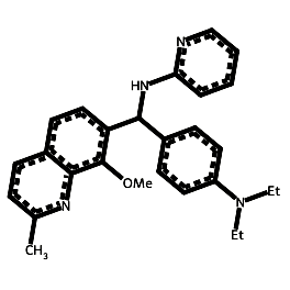 CCN(CC)c1ccc(C(Nc2ccccn2)c2ccc3ccc(C)nc3c2OC)cc1